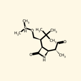 C[C@@H](C=O)[C@H]1NC(=O)[C@H]1[C@@H](CO[SiH](C)C)C(C)(C)C